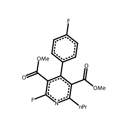 CCCc1nc(F)c(C(=O)OC)c(-c2ccc(F)cc2)c1C(=O)OC